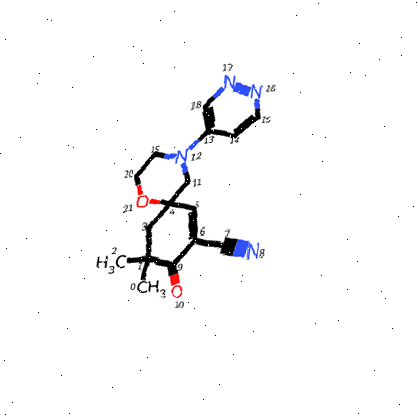 CC1(C)CC2(C=C(C#N)C1=O)CN(c1ccnnc1)CCO2